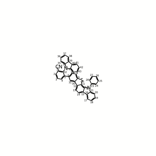 N#Cc1cccc(-c2ccc3sc4c(ccc5c6ccccc6n(-c6ccccc6)c54)c3c2)c1-n1c2ccccc2c2ccccc21